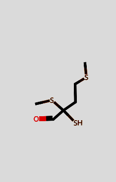 CSCCC(S)(C=O)SC